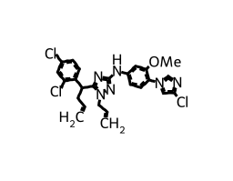 C=CCC(c1ccc(Cl)cc1Cl)c1nc(Nc2ccc(-n3cnc(Cl)c3)c(OC)c2)nn1CC=C